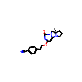 N#Cc1ccc(CCOc2cc3n(c(=O)n2)C[C@H]2CCCN32)cc1